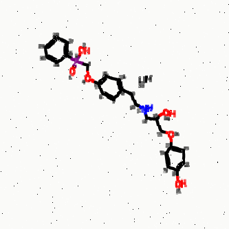 O=P(O)(COc1ccc(CCNCC(O)COc2ccc(O)cc2)cc1)c1ccccc1.[LiH]